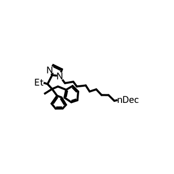 CCCCCCCCCCCCCCCCCCCn1ccnc1C(CC)C(C)(Cc1ccccc1)c1ccccc1